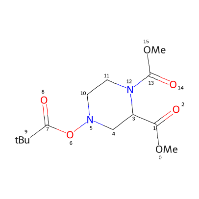 COC(=O)C1CN(OC(=O)C(C)(C)C)CCN1C(=O)OC